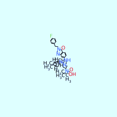 C[C@H]1[C@@H](N=C(Nc2ccc3c(=O)n(CCc4ccc(F)cc4)cnc3c2)N2CC(N(C(=O)O)C(C)(C)C)C2)C[C@@H]2C[C@@H]1C2(C)C